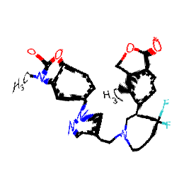 Cc1c(C2CN(Cc3cnn(-c4ccc5oc(=O)n(C)c5c4)c3)CCC2(F)F)ccc2c1COC2=O